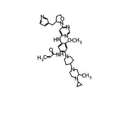 C=CC(=O)Nc1cc(Nc2cc(N3OCCC3Cc3cccnc3)ncn2)c(OC)cc1N1CCC(N2CCN(C3CC3)C(C)C2)CC1